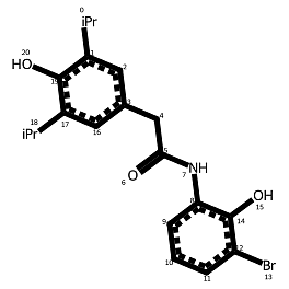 CC(C)c1cc(CC(=O)Nc2cccc(Br)c2O)cc(C(C)C)c1O